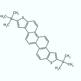 C[Si](C)(C)c1cc2c(ccc3c2ccc2c4ccc5sc([Si](C)(C)C)cc5c4ccc32)s1